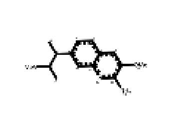 COc1cc2ccc(C(C)C(C)SC)cc2nc1N